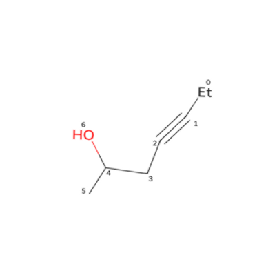 CCC#CCC(C)O